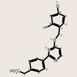 O=C(O)Cc1ccc(-c2nccc(OCc3ccc(Cl)cc3F)n2)cc1